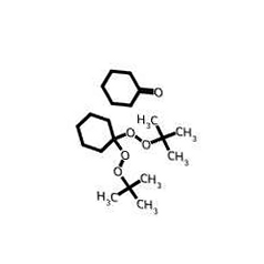 CC(C)(C)OOC1(OOC(C)(C)C)CCCCC1.O=C1CCCCC1